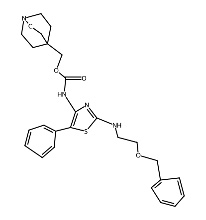 O=C(Nc1nc(NCCOCc2ccccc2)sc1-c1ccccc1)OCC12CCN(CC1)CC2